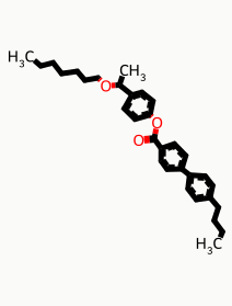 CCCCCCCOC(C)c1ccc(OC(=O)c2ccc(-c3ccc(CCCC)cc3)cc2)cc1